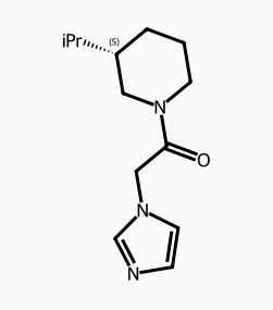 CC(C)[C@@H]1CCCN(C(=O)Cn2ccnc2)C1